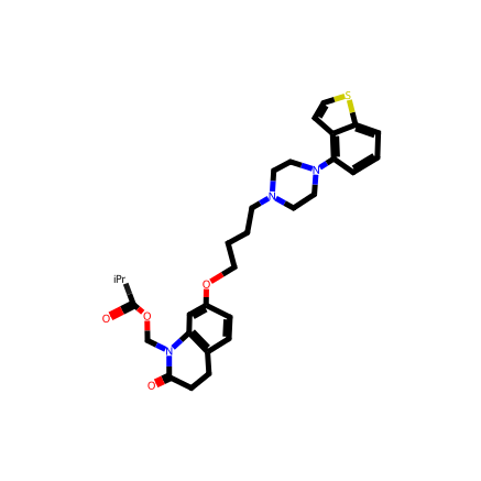 CC(C)C(=O)OCN1C(=O)CCc2ccc(OCCCCN3CCN(c4cccc5sccc45)CC3)cc21